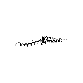 CCCCCCCCCCCCCCCCCCN1C=CN(CCCCCCCCCCCCCCCC)C1CCCCC